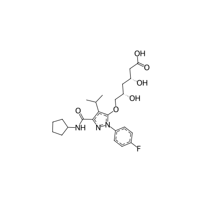 CC(C)c1c(C(=O)NC2CCCC2)nn(-c2ccc(F)cc2)c1OC[C@@H](O)C[C@@H](O)CC(=O)O